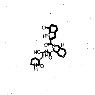 N#C[C@H](C[C@@H]1CCCNC1=O)NC(=O)[C@@H]1C2CCCC[C@H]2CN1C(=O)c1cc2cccc(Cl)c2[nH]1